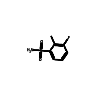 Cc1c(F)cccc1S(N)(=O)=O